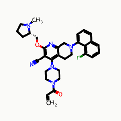 C=CC(=O)N1CCN(c2c(C#N)c(OC[C@@H]3CCCN3C)nc3c2CCN(c2cccc4cccc(F)c24)C3)CC1